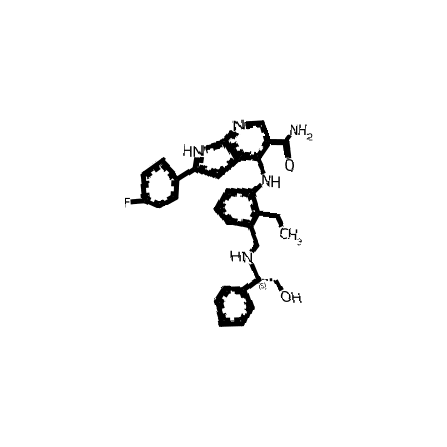 CCc1c(CN[C@H](CO)c2ccccc2)cccc1Nc1c(C(N)=O)cnc2[nH]c(-c3ccc(F)cc3)cc12